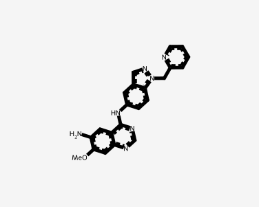 COc1cc2ncnc(Nc3ccc4c(cnn4Cc4ccccn4)c3)c2cc1N